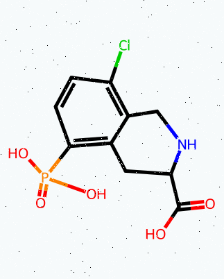 O=C(O)C1Cc2c(P(=O)(O)O)ccc(Cl)c2CN1